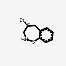 CC[C@@H]1CNSc2ccccc2C1